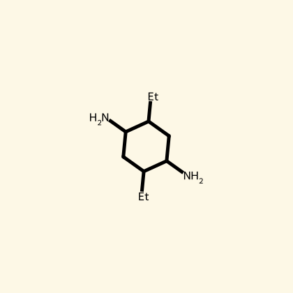 CCC1CC(N)C(CC)CC1N